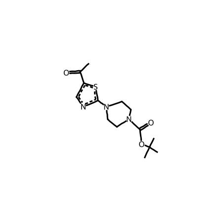 CC(=O)c1cnc(N2CCN(C(=O)OC(C)(C)C)CC2)s1